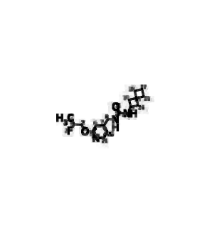 CC(F)COc1cc(CNC(=O)NC2CC3(CCC3)C2)ccn1